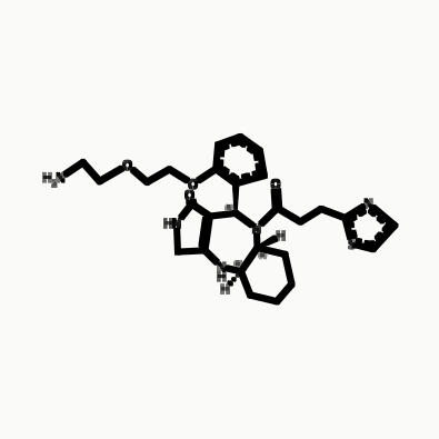 NCCOCCOc1ccccc1[C@@H]1C2=C(CNC2=O)N[C@@H]2CCCC[C@H]2N1C(=O)CCc1nccs1